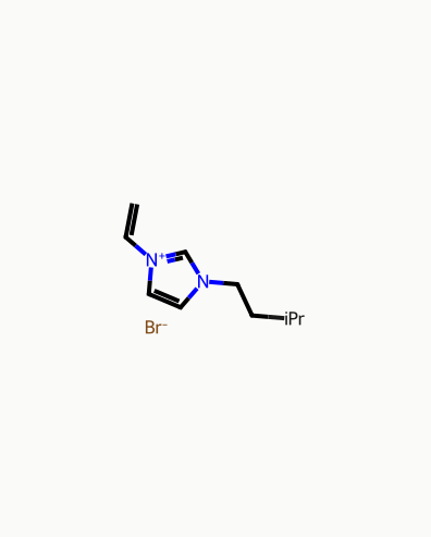 C=C[n+]1ccn(CCC(C)C)c1.[Br-]